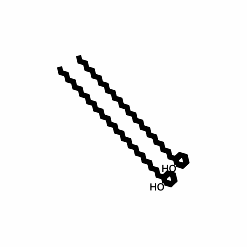 CCCCCCCCCCCCCCCCCCCCCCCCCCCCCCc1ccccc1O.CCCCCCCCCCCCCCCCCCCCCCCCCCCCc1ccccc1O